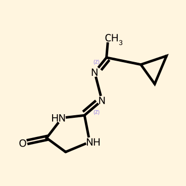 C/C(=N/N=C1/NCC(=O)N1)C1CC1